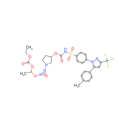 CCOC(=O)OC(C)On1on1N1CCC(OC(=O)NS(=O)(=O)c2ccc(-n3nc(C(F)(F)F)cc3-c3ccc(C)cc3)cc2)C1